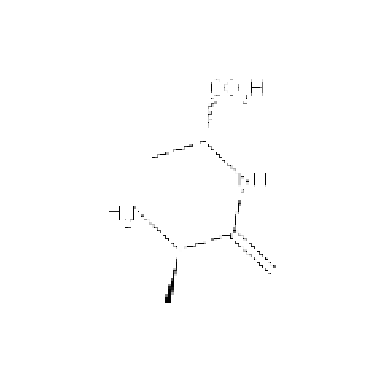 C=C(N[C@H](C)C(=O)O)[C@@H](C)N